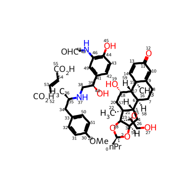 CCC[C@@H]1O[C@@H]2C[C@H]3[C@@H]4CCC5=CC(=O)C=C[C@]5(C)[C@H]4[C@@H](O)C[C@]3(C)[C@]2(C(=O)CO)O1.COc1ccc(C[C@@H](C)NC[C@H](O)c2ccc(O)c(NC=O)c2)cc1.O=C(O)/C=C/C(=O)O